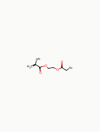 C=C(CCC)C(=O)OCCOC(=O)CC(C)=O